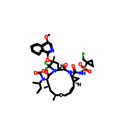 CCC(C)N(C(=O)O)[C@@H]1C(=O)N2[C@@H](C[C@@](C)(Oc3ncc(OC)c4ccccc34)C2(F)F)C(=O)N[C@]2(C(=O)NS(=O)(=O)C3(CF)CC3)C[C@H]2/C=C\CC[C@@H](C)C[C@H]1C